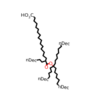 CCCCCCCCCCCCCCCCCC(CCCCCCCCCCCCCC)(CCCCCCCCCCCCCCCC)OC(=O)C(CCCCCCCCCCCC)CCCCCCCCCCCCCCCC(=O)O